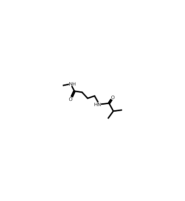 CNC(=O)CCCNC(=O)C(C)C